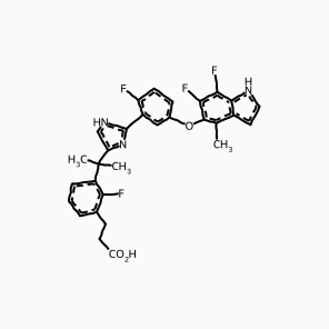 Cc1c(Oc2ccc(F)c(-c3nc(C(C)(C)c4cccc(CCC(=O)O)c4F)c[nH]3)c2)c(F)c(F)c2[nH]ccc12